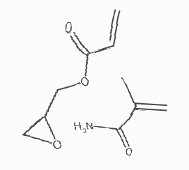 C=C(C)C(N)=O.C=CC(=O)OCC1CO1